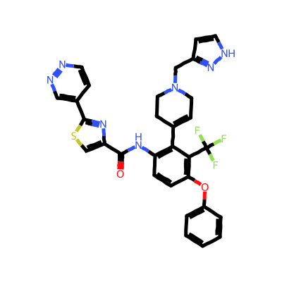 O=C(Nc1ccc(Oc2ccccc2)c(C(F)(F)F)c1C1=CCN(Cc2cc[nH]n2)CC1)c1csc(-c2ccnnc2)n1